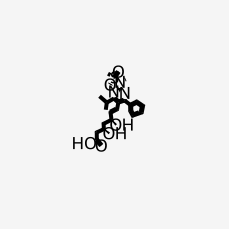 CC(C)c1nc(N(C)S(C)(=O)=O)nc(-c2ccccc2)c1C=C[C@@H](O)C[C@@H](O)CC(=O)O